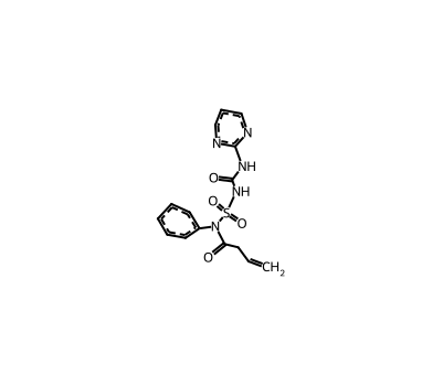 C=CCC(=O)N(c1ccccc1)S(=O)(=O)NC(=O)Nc1ncccn1